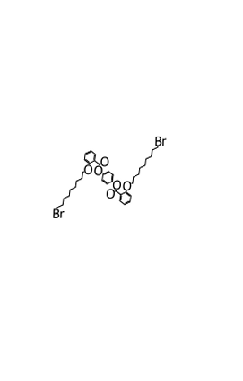 O=C(Oc1ccc(OC(=O)c2ccccc2OCCCCCCCCCBr)cc1)c1ccccc1OCCCCCCCCCBr